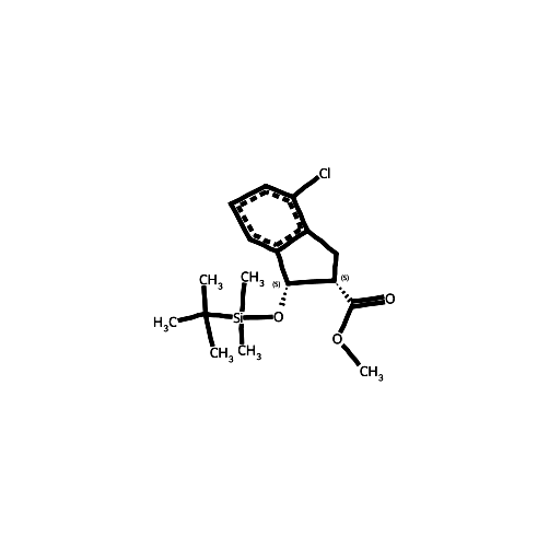 COC(=O)[C@H]1Cc2c(Cl)cccc2[C@H]1O[Si](C)(C)C(C)(C)C